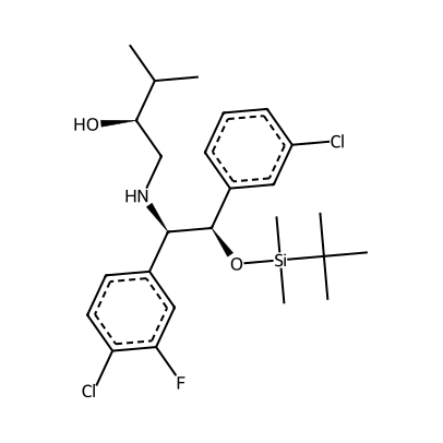 CC(C)[C@H](O)CN[C@H](c1ccc(Cl)c(F)c1)[C@H](O[Si](C)(C)C(C)(C)C)c1cccc(Cl)c1